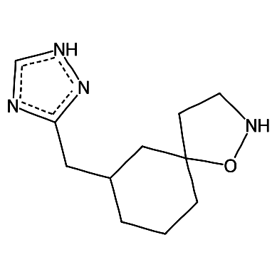 c1nc(CC2CCCC3(CCNO3)C2)n[nH]1